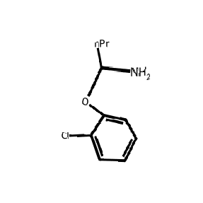 CCCC(N)Oc1ccccc1Cl